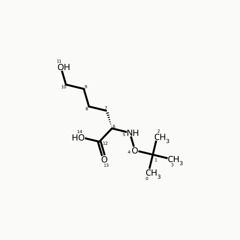 CC(C)(C)ON[C@@H](CCCCO)C(=O)O